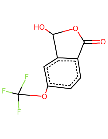 O=C1OC(O)c2cc(OC(F)(F)F)ccc21